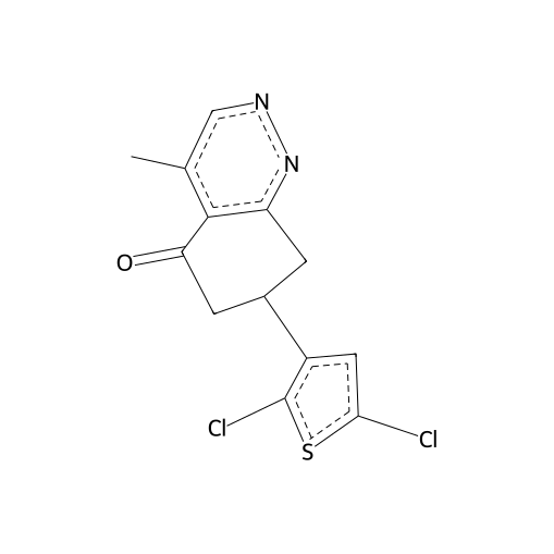 Cc1cnnc2c1C(=O)CC(c1cc(Cl)sc1Cl)C2